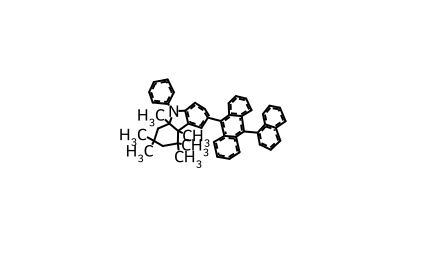 CC1(C)CC(C)(C)C2(C)c3cc(-c4c5ccccc5c(-c5cccc6ccccc56)c5ccccc45)ccc3N(c3ccccc3)C2(C)C1